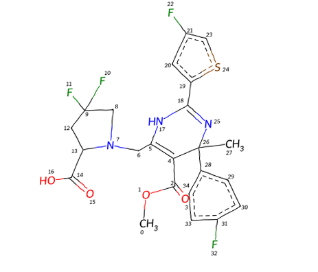 COC(=O)C1=C(CN2CC(F)(F)CC2C(=O)O)NC(c2cc(F)cs2)=NC1(C)c1ccc(F)cc1